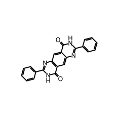 O=c1[nH]c(-c2ccccc2)nc2cc3c(=O)[nH]c(-c4ccccc4)nc3cc12